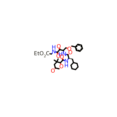 CCOC(=O)CNC(=O)C(=O)C(COCc1ccccc1)NC(=O)[C@@H](CC1CCCCC1)NC(=O)C1OCC(=O)CC1(C)C